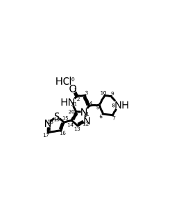 Cl.O=c1cc(C2CCNCC2)n2ncc(-c3ccns3)c2[nH]1